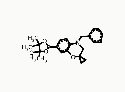 CC1(C)OB(c2ccc3c(c2)OC2(CC2)CN3Cc2ccccc2)OC1(C)C